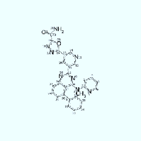 CN(c1ccccn1)c1nc(-c2cncc(-c3nnc(C(N)=O)o3)c2)nc2cccc(-c3ccccc3)c12